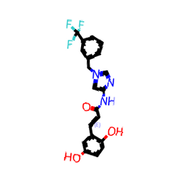 O=C(/C=C/c1cc(O)ccc1O)Nc1cn(Cc2cccc(C(F)(F)F)c2)cn1